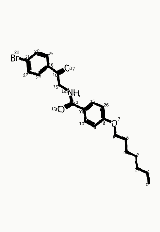 CCCCCCCOc1ccc(C(=O)NCC(=O)c2ccc(Br)cc2)cc1